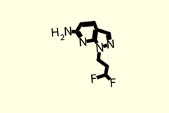 Nc1ccc2cnn(CCC(F)F)c2n1